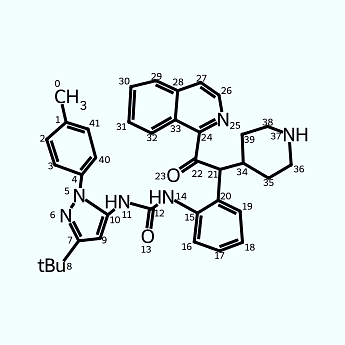 Cc1ccc(-n2nc(C(C)(C)C)cc2NC(=O)Nc2ccccc2C(C(=O)c2nccc3ccccc23)C2CCNCC2)cc1